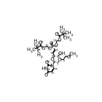 COCCOC[C@@H](O[C@H](/C=C/P(=O)(OCOC(=O)C(C)(C)C)OCOC(=O)C(C)(C)C)CO)n1ccc(=O)[nH]c1=O